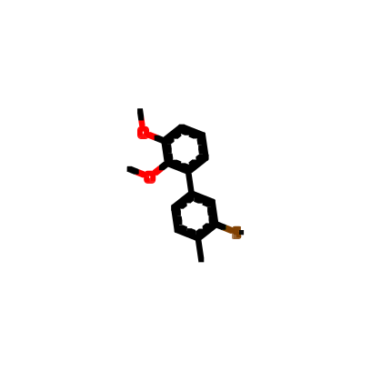 COc1cccc(-c2ccc(C)c([S])c2)c1OC